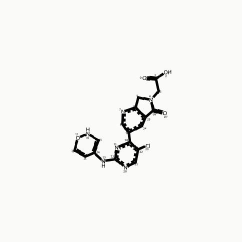 O=C(O)CN1Cc2ncc(-c3nc(NC4=CNOC=C4)ncc3Cl)cc2C1=O